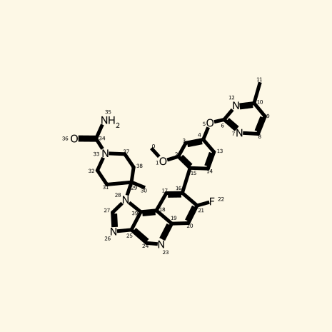 COc1cc(Oc2nccc(C)n2)ccc1-c1cc2c(cc1F)ncc1ncn(C3(C)CCN(C(N)=O)CC3)c12